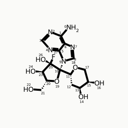 Nc1ncnc2c1ncn2[C@]1([C@H]2C[C@H](O)[C@H](O)CO2)O[C@H](CO)[C@@H](O)[C@]1(O)F